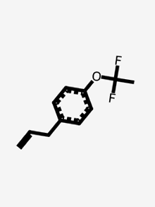 C=CCc1ccc(OC(C)(F)F)cc1